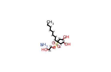 CCCCCCCCC(CCO)(CCO)S(=O)(=O)OCCO.N